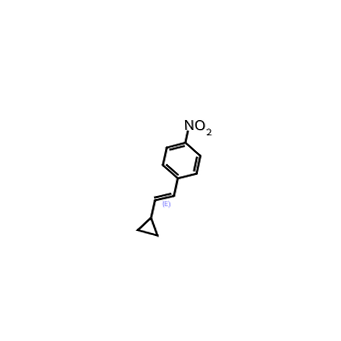 O=[N+]([O-])c1ccc(/C=C/C2CC2)cc1